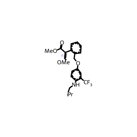 CO/C=C(/C(=O)OC)c1ccccc1COc1ccc(NCC(C)C)c(C(F)(F)F)c1